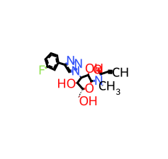 C#CC(=O)N(C)C1O[C@H](CO)[C@H](O)[C@H](n2cc(-c3cccc(F)c3)nn2)[C@H]1O